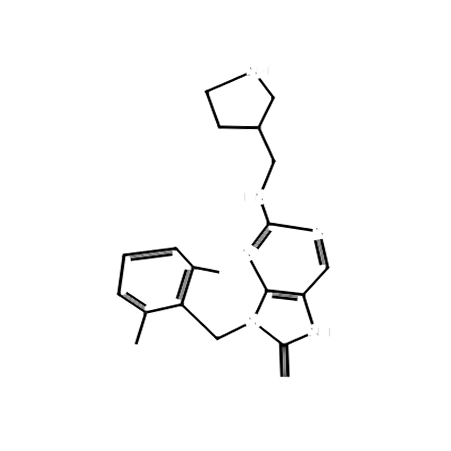 O=c1[nH]c2cnc(NCC3CCNC3)nc2n1Cc1c(F)cccc1Cl